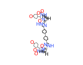 COC(=O)NC(C(=O)N1[C@@H]2C[C@@H]2C[C@H]1c1nc(-c2ccc(-c3ccc(-c4c[nH]c([C@@H]5C[C@H]6C[C@H]6N5C(=O)C(NC(=O)OC)C5CCC(=O)CC5)n4)cc3)cc2)c[nH]1)C1CCC(=O)CC1